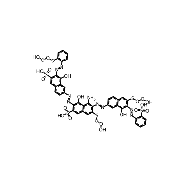 Nc1c(N=Nc2ccc3cc(SOOO)c(N=Nc4ccccc4S(=O)(=O)O)c(O)c3c2)c(SOOO)cc2cc(S(=O)(=O)O)c(N=Nc3ccc4cc(S(=O)(=O)O)c(N=Nc5ccccc5SOOO)c(O)c4c3)c(O)c12